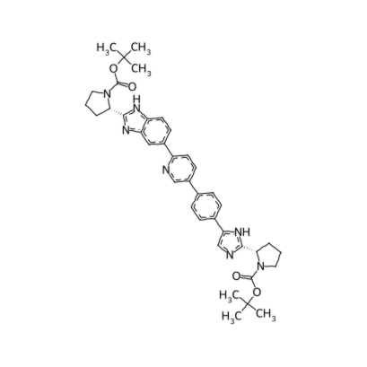 CC(C)(C)OC(=O)N1CCC[C@H]1c1ncc(-c2ccc(-c3ccc(-c4ccc5[nH]c([C@@H]6CCCN6C(=O)OC(C)(C)C)nc5c4)nc3)cc2)[nH]1